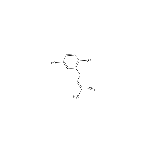 CC(C)=CCc1cc(O)ccc1O